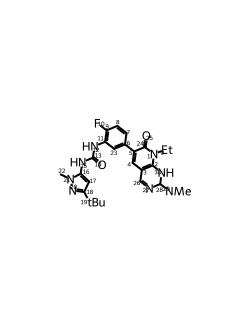 CCn1c2c(cc(-c3ccc(F)c(NC(=O)Nc4cc(C(C)(C)C)nn4C)c3)c1=O)C=NC(NC)N2